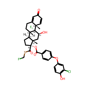 C[C@]12C=CC(=O)C=C1CC[C@H]1[C@@H]3CC[C@](OC(=O)c4ccc(Oc5ccc(O)c(Cl)c5)cc4)(C(=O)SCF)[C@@]3(C)C[C@H](O)[C@@]12F